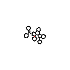 c1ccc(N(c2ccccc2)c2ccc3c4c(c5ccccc5c3c2)-c2ccccc2C4(c2ccccc2)c2ccccc2)cc1